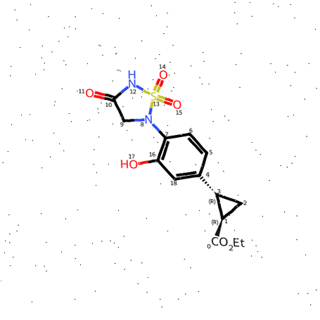 CCOC(=O)[C@@H]1C[C@H]1c1ccc(N2CC(=O)NS2(=O)=O)c(O)c1